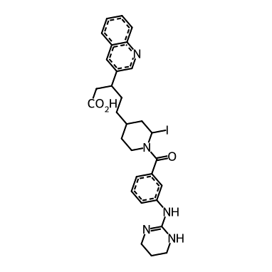 O=C(O)CC(CCC1CCN(C(=O)c2cccc(NC3=NCCCN3)c2)C(I)C1)c1cnc2ccccc2c1